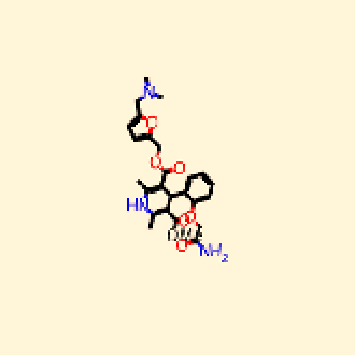 COC(=O)C1=C(C)NC(C)=C(C(=O)OCc2ccc(CN(C)C)o2)C1c1ccccc1OCC(N)=O